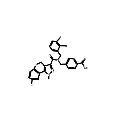 Cn1nc(C(=O)N(Cc2ccc(C(=O)O)cc2)Cc2cccc(F)c2F)c2c1-c1cc(Cl)ccc1OC2